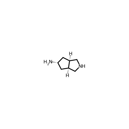 N[C@@H]1C[C@H]2CNC[C@H]2C1